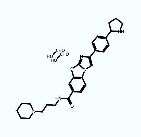 O=C(NCCCN1CCCCC1)c1ccc2c(c1)sc1nc(-c3ccc(C4CCCN4)cc3)cn12.O=CO.O=CO